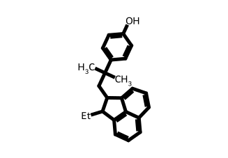 CCC1c2cccc3cccc(c23)C1CC(C)(C)c1ccc(O)cc1